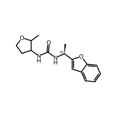 CC1OCCC1NC(=O)N[C@@H](C)c1cc2ccccc2o1